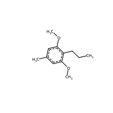 CCCc1c(OC)cc(C)cc1OC